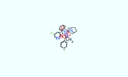 COC(=O)c1ccccc1C(=O)N1C2CCC1CC(NC(=O)c1cc(F)cnc1Oc1ccc(F)cc1)C2